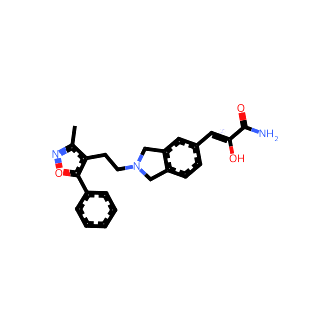 Cc1noc(-c2ccccc2)c1CCN1Cc2ccc(/C=C(\O)C(N)=O)cc2C1